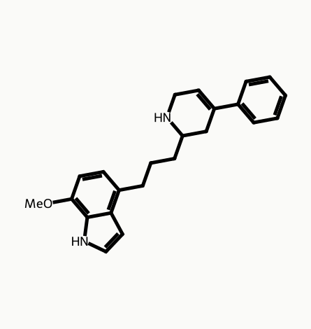 COc1ccc(CCCC2CC(c3ccccc3)=CCN2)c2cc[nH]c12